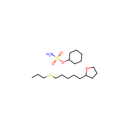 CCCSCCCCCC1CCCO1.NS(=O)(=O)OC1CCCCC1